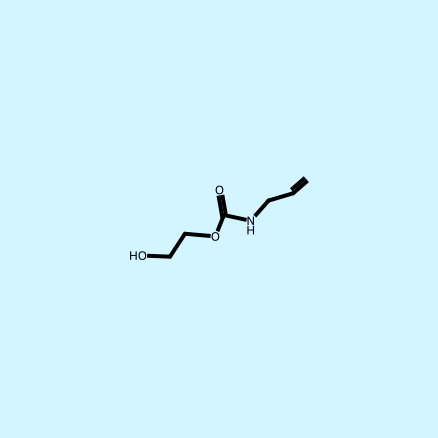 C=CCNC(=O)OCCO